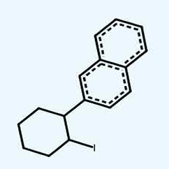 IC1CCCCC1c1ccc2ccccc2c1